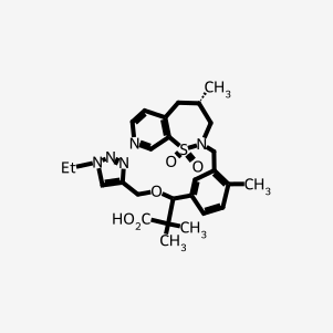 CCn1cc(COC(c2ccc(C)c(CN3C[C@@H](C)Cc4ccncc4S3(=O)=O)c2)C(C)(C)C(=O)O)nn1